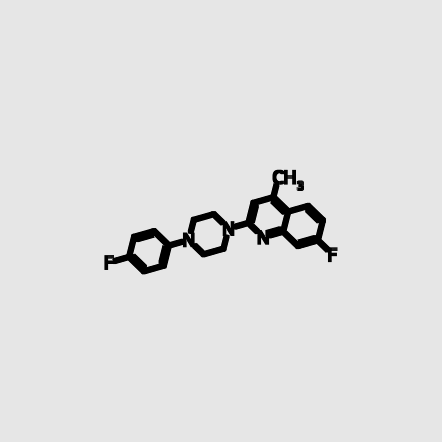 Cc1cc(N2CCN(c3ccc(F)cc3)CC2)nc2cc(F)ccc12